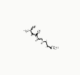 CC(O)CC(=O)OCCCCC(=O)O